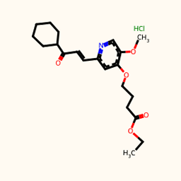 CCOC(=O)CCCOc1cc(C=CC(=O)C2CCCCC2)ncc1OC.Cl